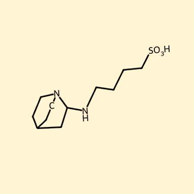 O=S(=O)(O)CCCCNC1CC2CCN1CC2